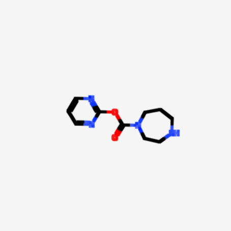 O=C(Oc1ncccn1)N1CCCNCC1